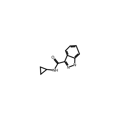 O=C(NC1CC1)C1=N[N]c2ccccc21